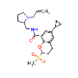 C=CCN1CCCC1CNC(=O)c1cc(C2CC2)cc2c1OC(S(C)(=O)=O)CC2